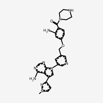 Cn1ccc(-c2cn(-c3cncc(COc4ccc(C(=O)N5CCNCC5)c(N)c4)c3)c3ncnc(N)c23)n1